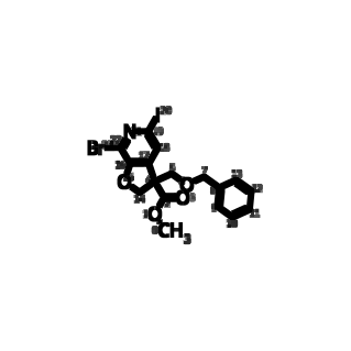 COC(=O)C1(COCc2ccccc2)COc2c1cc(I)nc2Br